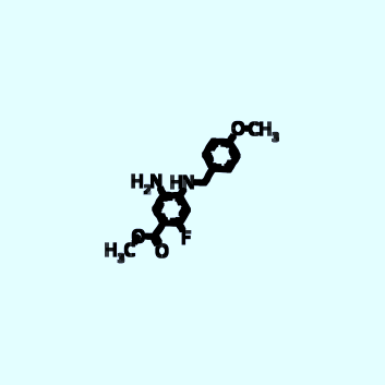 COC(=O)c1cc(N)c(NCc2ccc(OC)cc2)cc1F